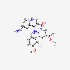 CCOC(=O)C1CCCN(C(=O)c2cnc3ccc(C#N)cc3c2NCc2ccc(OC)c(Cl)c2)C1